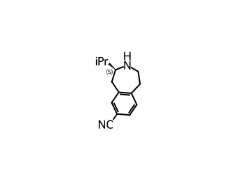 CC(C)[C@@H]1Cc2cc(C#N)ccc2CCN1